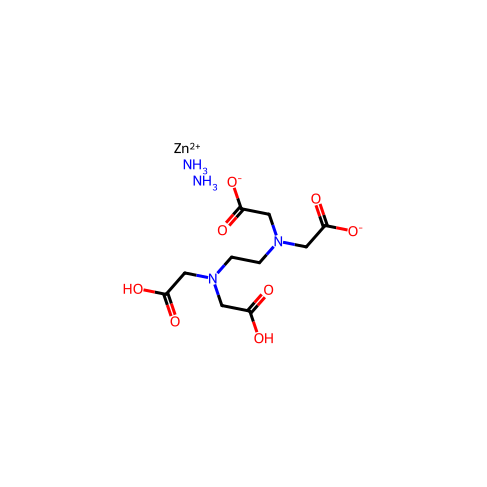 N.N.O=C([O-])CN(CCN(CC(=O)O)CC(=O)O)CC(=O)[O-].[Zn+2]